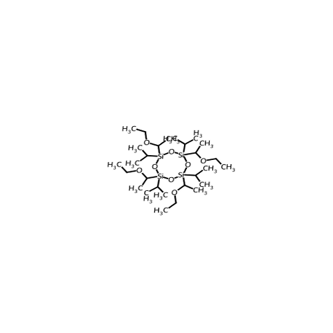 CCOC(C)[Si]1(C(C)C)O[Si](C(C)C)(C(C)OCC)O[Si](C(C)C)(C(C)OCC)O[Si](C(C)C)(C(C)OCC)O1